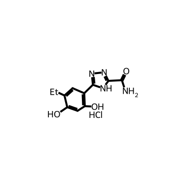 CCc1cc(-c2nnc(C(N)=O)[nH]2)c(O)cc1O.Cl